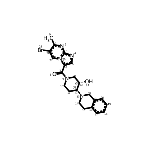 Cc1nc2ncc(C(=O)N3CC[C@H](N4CCc5ccccc5C4)[C@@H](O)C3)n2cc1Br